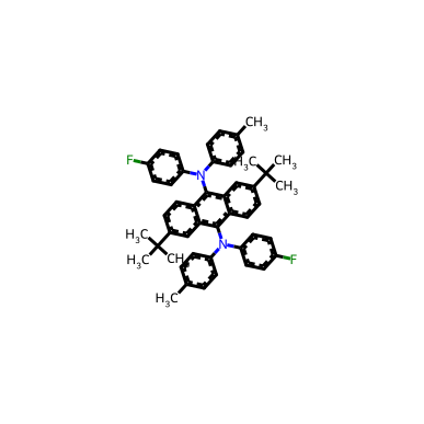 Cc1ccc(N(c2ccc(F)cc2)c2c3ccc(C(C)(C)C)cc3c(N(c3ccc(C)cc3)c3ccc(F)cc3)c3ccc(C(C)(C)C)cc23)cc1